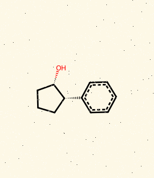 O[C@H]1CCC[C@H]1c1ccccc1